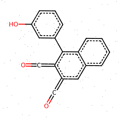 O=C=c1cc2ccccc2c(-c2cccc(O)c2)c1=C=O